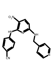 N#Cc1ccc(Nc2nc(NCc3ccncc3)ccc2[N+](=O)[O-])cc1